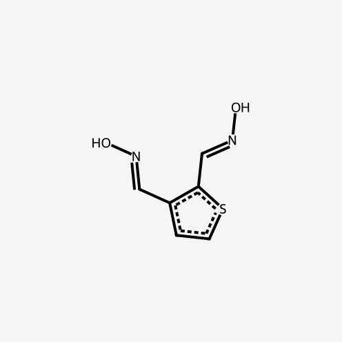 ON=Cc1ccsc1C=NO